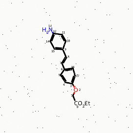 CCOC(=O)COc1ccc(/C=C/c2ccc(N)cc2)cc1